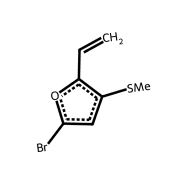 C=Cc1oc(Br)cc1SC